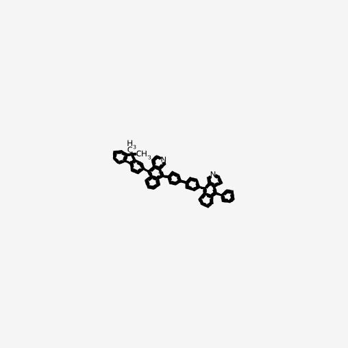 CC1(C)c2ccccc2-c2ccc(-c3c4ccccc4c(-c4ccc(-c5ccc(-c6c7ccccc7c(-c7ccccc7)c7ccncc67)cc5)cc4)c4cnccc34)cc21